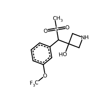 CS(=O)(=O)C(c1cccc(OC(F)(F)F)c1)C1(O)CNC1